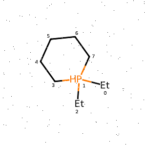 CC[PH]1(CC)CCCCC1